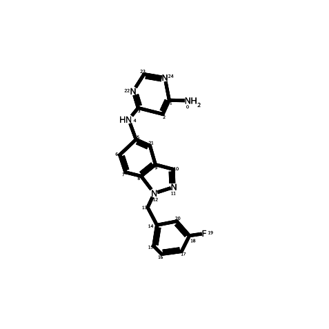 Nc1cc(Nc2ccc3c(cnn3Cc3cccc(F)c3)c2)ncn1